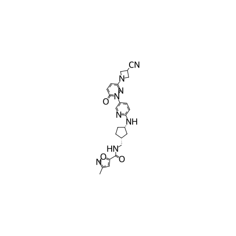 Cc1cc(C(=O)NC[C@@H]2CC[C@H](Nc3ccc(-n4nc(N5CC(C#N)C5)ccc4=O)cn3)C2)on1